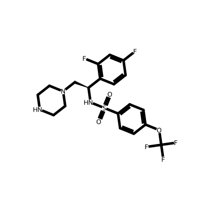 O=S(=O)(N[C@@H](CN1CCNCC1)c1ccc(F)cc1F)c1ccc(OC(F)(F)F)cc1